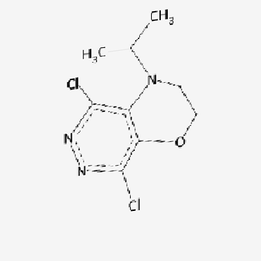 CC(C)N1CCOc2c(Cl)nnc(Cl)c21